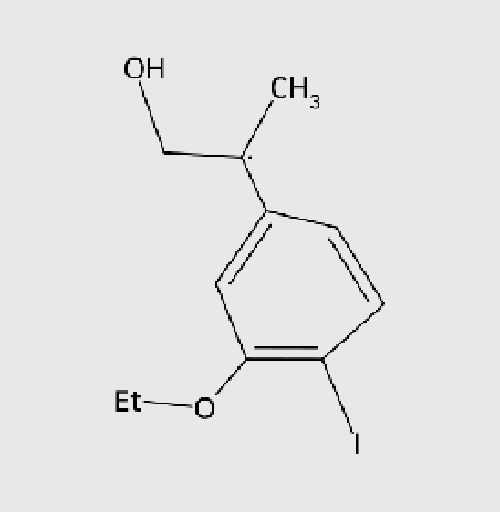 CCOc1cc([C](C)CO)ccc1I